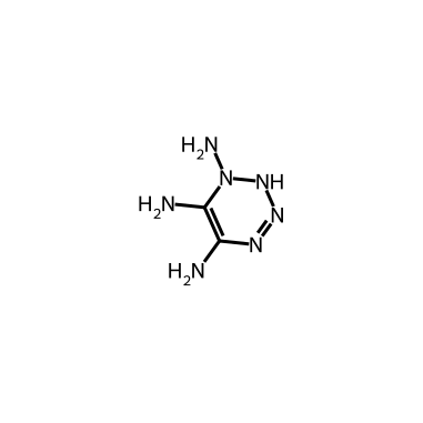 NC1=C(N)N(N)NN=N1